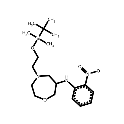 CC(C)(C)[Si](C)(C)OCCN1CCOCC(Nc2ccccc2[N+](=O)[O-])C1